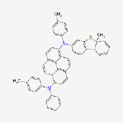 Cc1ccc(N(c2ccc3c(c2)SC2(C)C=CC=CC32)c2ccc3c4c5c(ccc24)C=CC(N(c2ccccc2)c2ccc(C)cc2)C5C=C3)cc1